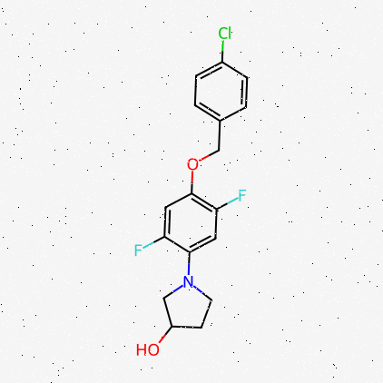 OC1CCN(c2cc(F)c(OCc3ccc(Cl)cc3)cc2F)C1